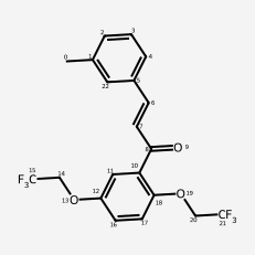 Cc1cccc(C=CC(=O)c2cc(OCC(F)(F)F)ccc2OCC(F)(F)F)c1